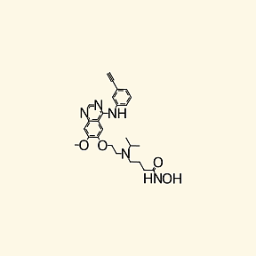 C#Cc1cccc(Nc2ncnc3cc(OC)c(OCCN(CCCC(=O)NO)C(C)C)cc23)c1